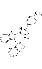 CC1C=CC(c2nc(-c3sc4ccccc4c3-c3c(O)ccc4cccnc34)cs2)=CC1